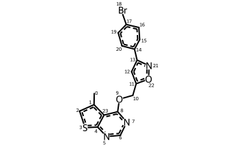 Cc1csc2ncnc(OCc3cc(-c4ccc(Br)cc4)no3)c12